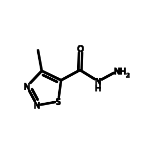 Cc1nnsc1C(=O)NN